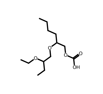 CCCCC(COC(=O)O)OCC(CC)OCC